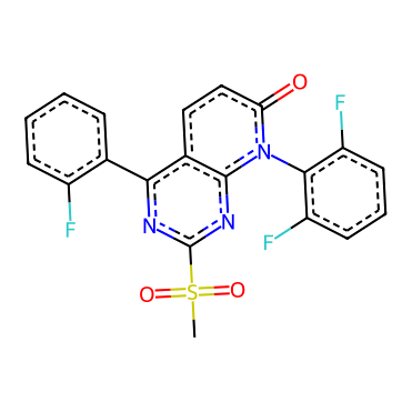 CS(=O)(=O)c1nc(-c2ccccc2F)c2ccc(=O)n(-c3c(F)cccc3F)c2n1